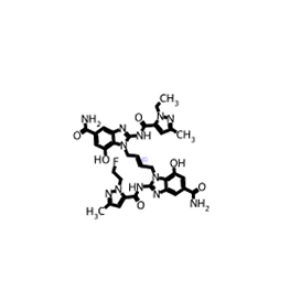 CCn1nc(C)cc1C(=O)Nc1nc2cc(C(N)=O)cc(O)c2n1C/C=C/Cn1c(NC(=O)c2cc(C)nn2CCF)nc2cc(C(N)=O)cc(O)c21